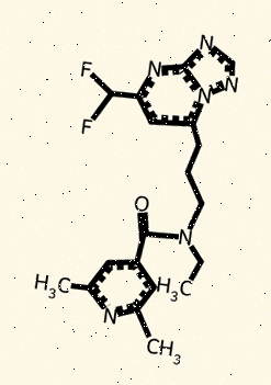 CCN(CCCc1cc(C(F)F)nc2ncnn12)C(=O)c1cc(C)nc(C)c1